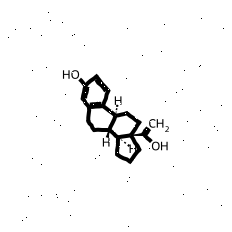 C=C(O)[C@@]12CCC[C@H]1[C@@H]1CCc3cc(O)ccc3[C@H]1CC2